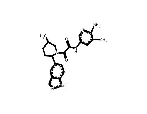 Cc1cc(NC(=O)C(=O)N2CC(C)CCC2c2ccc3[nH]ncc3c2)cnc1N